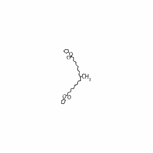 CC(CCCCCCCCC(=O)OC1CCCC1)CCCCCCCCC(=O)OC1CCCC1